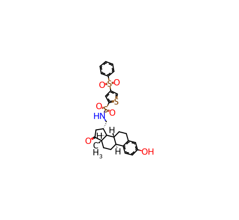 C[C@]12CC[C@@H]3c4ccc(O)cc4CC[C@H]3[C@@H]1[C@@H](CNS(=O)(=O)c1cc(S(=O)(=O)c3ccccc3)cs1)CC2=O